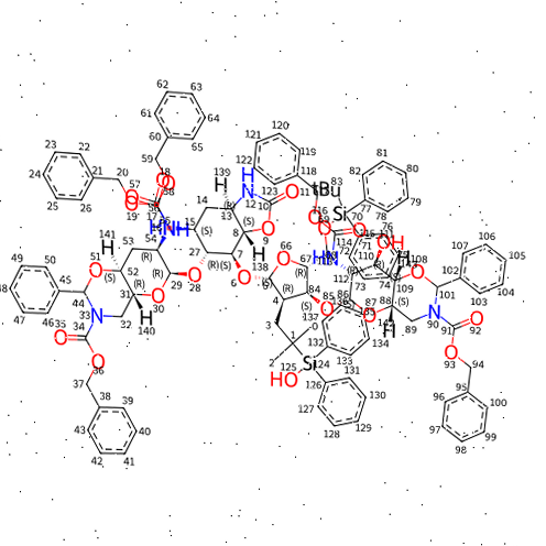 CC(C)(C[C@H]1[C@H](O[C@@H]2[C@H]3OC(=O)N[C@@H]3C[C@H](NC(=O)OCc3ccccc3)[C@H]2O[C@H]2O[C@@H]3CN(C(=O)OCc4ccccc4)C(c4ccccc4)O[C@H]3C[C@H]2NC(=O)OCc2ccccc2)O[C@H](CO[Si](c2ccccc2)(c2ccccc2)C(C)(C)C)[C@H]1O[C@H]1O[C@H]2CN(C(=O)OCc3ccccc3)C(c3ccccc3)O[C@H]2[C@H](O)[C@H]1NC(=O)OCc1ccccc1)[Si](O)(c1ccccc1)c1ccccc1